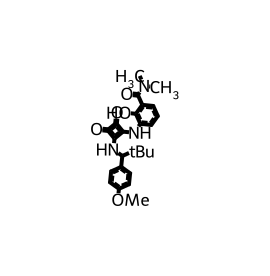 COc1ccc(C(Nc2c(Nc3cccc(C(=O)N(C)C)c3O)c(=O)c2=O)C(C)(C)C)cc1